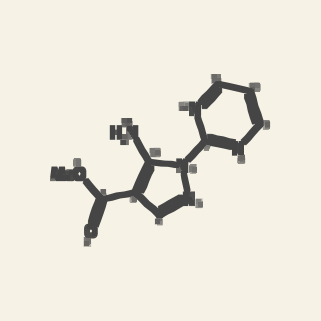 COC(=O)c1cnn(-c2ncccn2)c1N